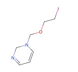 ICCOCN1C=CC=NC1